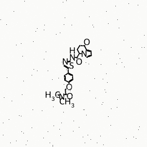 CN(C)C(=O)COc1ccc(-c2cnc(NC(=O)C3CCC(=O)c4cccn43)s2)cc1